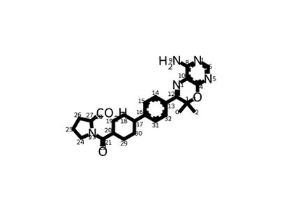 CC1(C)Oc2ncnc(N)c2N=C1c1ccc(C2CCC(C(=O)N3CCCC3C(=O)O)CC2)cc1